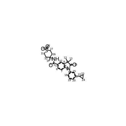 CC1(NC(=O)c2ccc3c(c2)C(C)(C)C(=O)N3c2cccc(C3CC3)c2)CCS(=O)(=O)CC1